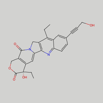 CCc1c2c(nc3ccc(C#CCO)cc13)-c1cc3c(c(=O)n1C2)COC(=O)[C@]3(O)CC